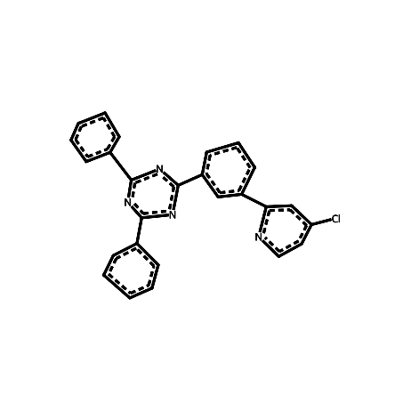 Clc1ccnc(-c2cccc(-c3nc(-c4ccccc4)nc(-c4ccccc4)n3)c2)c1